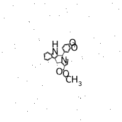 CCOC(=O)c1ccn2c1Cc1c([nH]c3ccccc13)C2c1ccc2c(c1)OCO2